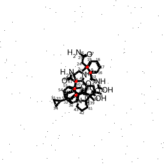 CC1CC(C2CCCN2[C@@]2(C(=O)NC(=O)O)c3ccc(cc3)C2(C)CC(N)=O)=C(c2ccc(C3CC3)cc2)C1(C)C1CCCN1[C@@]1(C(=O)NC(=O)O)c2ccc(cc2)C1(C)CC(N)=O